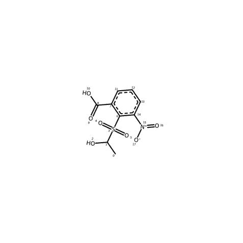 CC(O)S(=O)(=O)c1c(C(=O)O)cccc1[N+](=O)[O-]